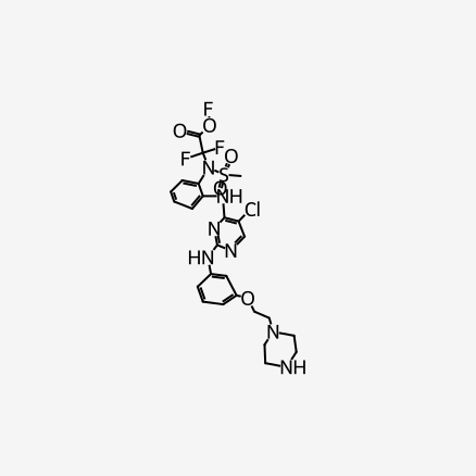 CS(=O)(=O)N(c1ccccc1Nc1nc(Nc2cccc(OCCN3CCNCC3)c2)ncc1Cl)C(F)(F)C(=O)OF